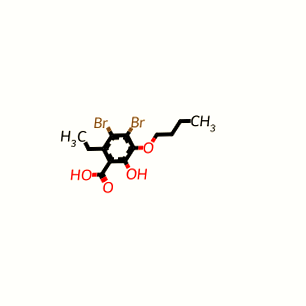 CCCCOc1c(O)c(C(=O)O)c(CC)c(Br)c1Br